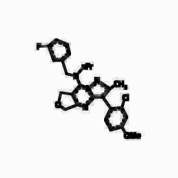 CCCN(Cc1cccc(F)c1)c1c2c(nc3c(-c4ccc(OC)cc4Cl)c(C)nn13)COC2